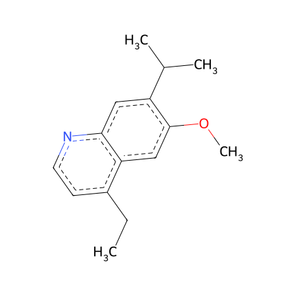 CCc1ccnc2cc(C(C)C)c(OC)cc12